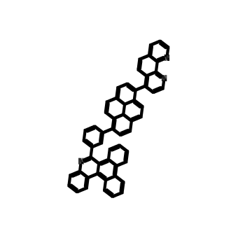 C1=CC2=C(c3cccc(-c4nc5ccccc5c5c6ccccc6c6ccccc6c45)c3)C=CC3=CC=C4C(c5ccnc6c5ccc5cccnc56)=CC=C1C4C32